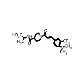 C[C@H](NC(=O)C1CCN(C(=O)/C=C/c2ccc(N(C)C)c(C(F)(F)F)c2)CC1)C(=O)O